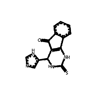 O=C1C2=C(NC(=S)NC2c2cnc[nH]2)c2ccccc21